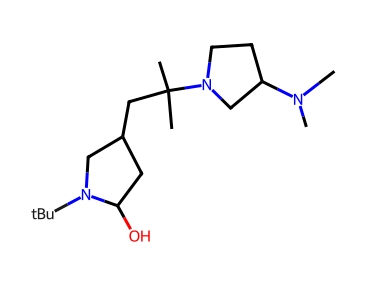 CN(C)C1CCN(C(C)(C)CC2CC(O)N(C(C)(C)C)C2)C1